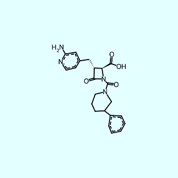 Nc1cc(C[C@H]2C(=O)N(C(=O)N3CCCC(c4ccccc4)C3)[C@@H]2C(=O)O)ccn1